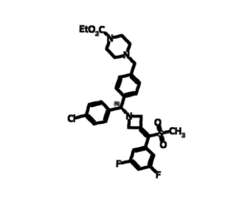 CCOC(=O)N1CCN(Cc2ccc([C@H](c3ccc(Cl)cc3)N3CC(=C(c4cc(F)cc(F)c4)S(C)(=O)=O)C3)cc2)CC1